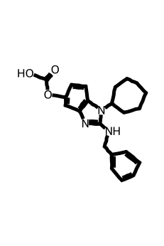 O=C(O)Oc1ccc2c(c1)nc(NCc1ccccc1)n2C1CCCCCC1